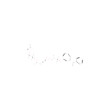 CCC(CC(C)(C)C(C)(C)OCC(C)C(C)(C)OC1=CC(C(C)c2ccccc2)C=CC=C1)OC(C)(C)C(C)(C)BC(C)(C)C(C)C